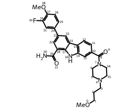 COCCCN1CCN(C(=O)c2ccc3c(c2)[nH]c2c(C(N)=O)cc(-c4ccc(OC)c(F)c4)cc23)CC1